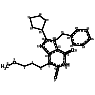 COCCCn1c(=O)[nH]c(=O)c2c1nc(C1CCCC1)n2Cc1ccccc1